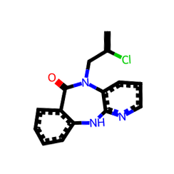 C=C(Cl)CN1C(=O)c2ccccc2Nc2ncccc21